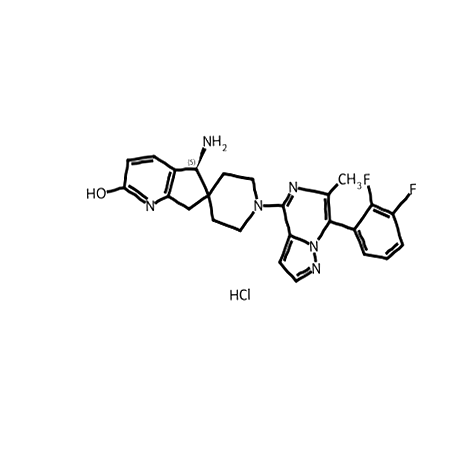 Cc1nc(N2CCC3(CC2)Cc2nc(O)ccc2[C@H]3N)c2ccnn2c1-c1cccc(F)c1F.Cl